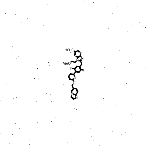 COCCn1c(Cc2cc(F)c(-c3cccc(OCc4ccc5nccn5c4)n3)cc2F)nc2ccc(C(=O)O)cc21